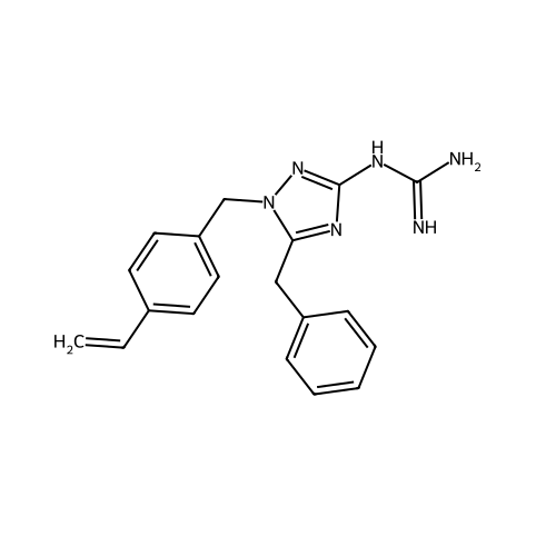 C=Cc1ccc(Cn2nc(NC(=N)N)nc2Cc2ccccc2)cc1